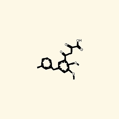 COc1cc(Cc2cccc(C)c2)cc(C(=O)CC(=O)C(=O)O)c1OC